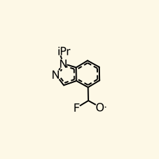 CC(C)n1ncc2c(C([O])F)cccc21